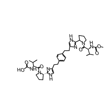 COC(=O)N[C@H](C(=O)N1CCCC1c1nc(CCc2ccc(CCc3c[nH]c([C@@H]4CCCN4C(=O)[C@@H](NC(=O)O)C(C)C)n3)cc2)c[nH]1)C(C)C